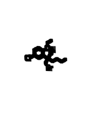 CCCCC(C#N)(CBr)c1cc(Cl)ccc1OCC